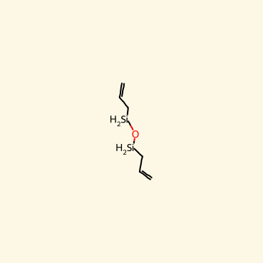 C=CC[SiH2]O[SiH2]CC=C